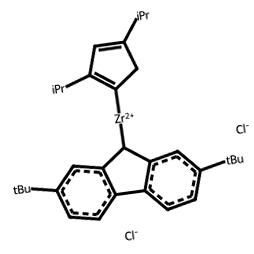 CC(C)C1=CC(C(C)C)=[C]([Zr+2][CH]2c3cc(C(C)(C)C)ccc3-c3ccc(C(C)(C)C)cc32)C1.[Cl-].[Cl-]